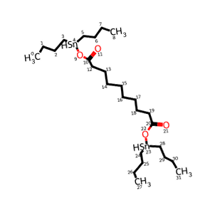 CCC[CH2][SnH]([CH2]CCC)[O]C(=O)CCCCCCCCC(=O)[O][SnH]([CH2]CCC)[CH2]CCC